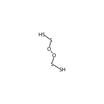 SSOOSS